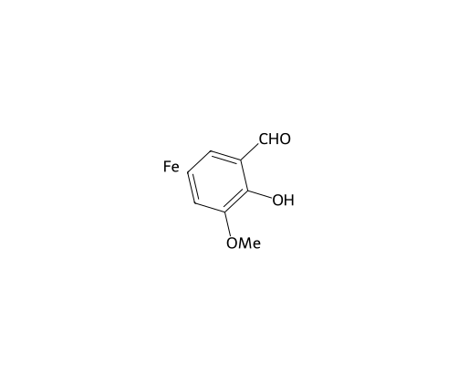 COc1cccc(C=O)c1O.[Fe]